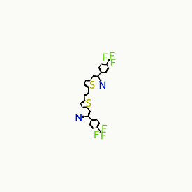 N#C/C(=C\c1ccc(/C=C/c2ccc(/C=C(\C#N)c3ccc(C(F)(F)F)cc3)s2)s1)c1ccc(C(F)(F)F)cc1